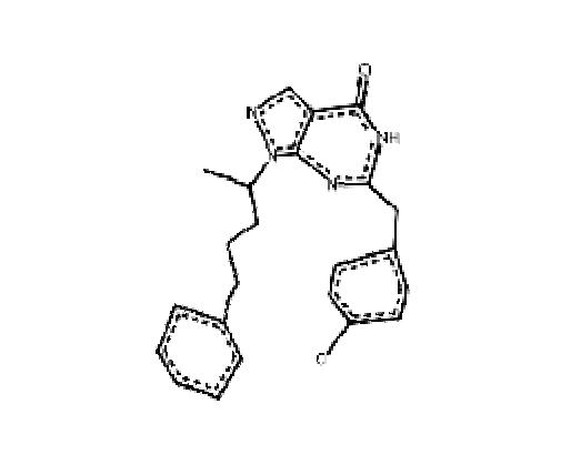 CC(CCCc1ccccc1)n1ncc2c(=O)[nH]c(Cc3ccc(Cl)cc3)nc21